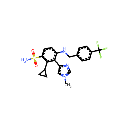 Cn1cnc(-c2c(NCc3ccc(C(F)(F)F)cc3)ccc(S(N)(=O)=O)c2C2CC2)c1